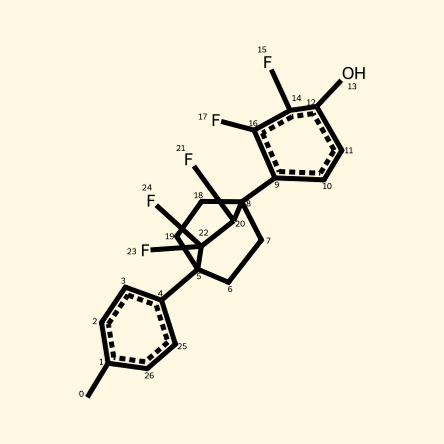 Cc1ccc(C23CCC(c4ccc(O)c(F)c4F)(CC2)C(F)C3(F)F)cc1